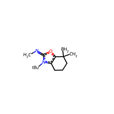 BC1(C)CCCc2c1o/c(=N/C)n2C(C)(C)C